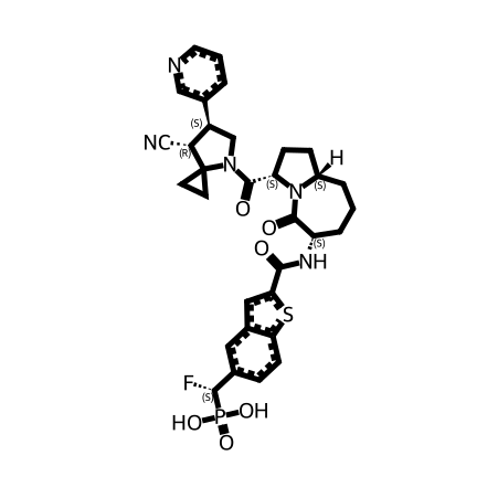 N#C[C@@H]1[C@@H](c2cccnc2)CN(C(=O)[C@@H]2CC[C@@H]3CCC[C@H](NC(=O)c4cc5cc([C@@H](F)P(=O)(O)O)ccc5s4)C(=O)N32)C12CC2